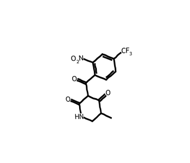 CC1CNC(=O)C(C(=O)c2ccc(C(F)(F)F)cc2[N+](=O)[O-])C1=O